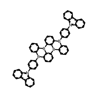 c1ccc2c(c1)B(c1ccc(-n3c4ccccc4c4ccccc43)cc1)c1cccc3c1B2c1cccc2c1B3c1ccccc1B2c1ccc(-n2c3ccccc3c3ccccc32)cc1